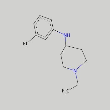 CCc1cccc(NC2CCN(CC(F)(F)F)CC2)c1